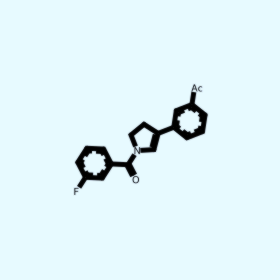 CC(=O)c1cccc(C2=CN(C(=O)c3cccc(F)c3)CC2)c1